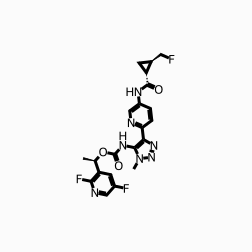 C[C@@H](OC(=O)Nc1c(-c2ccc(NC(=O)[C@@H]3C[C@H]3CF)cn2)nnn1C)c1cc(F)cnc1F